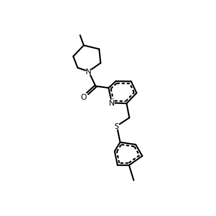 Cc1ccc(SCc2cccc(C(=O)N3CCC(C)CC3)n2)cc1